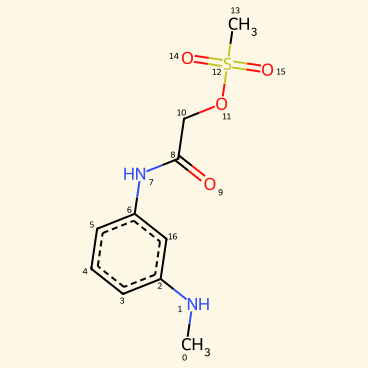 CNc1cccc(NC(=O)COS(C)(=O)=O)c1